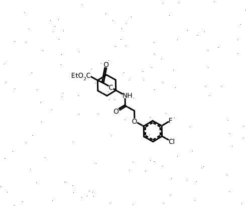 CCOC(=O)C12CCC(NC(=O)COc3ccc(Cl)c(F)c3)(CC1)CC2=O